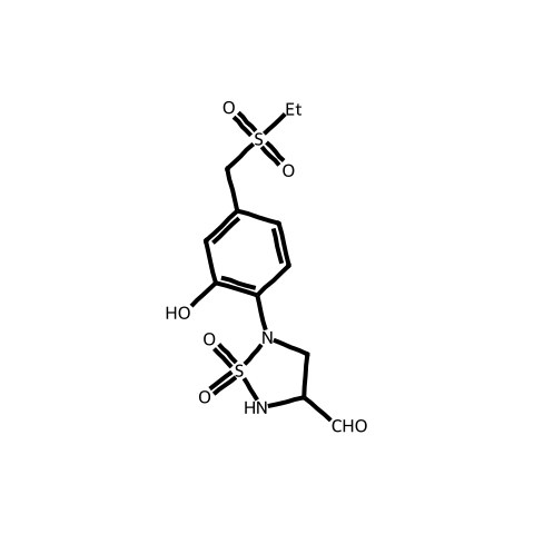 CCS(=O)(=O)Cc1ccc(N2CC(C=O)NS2(=O)=O)c(O)c1